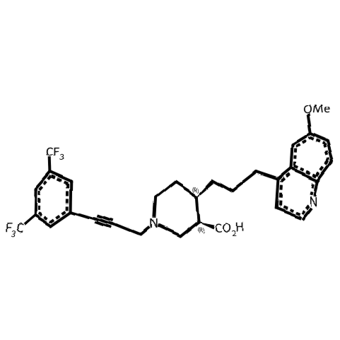 COc1ccc2nccc(CCC[C@@H]3CCN(CC#Cc4cc(C(F)(F)F)cc(C(F)(F)F)c4)C[C@@H]3C(=O)O)c2c1